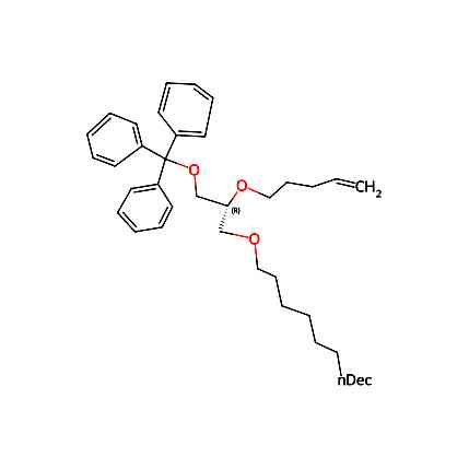 C=CCCCO[C@H](COCCCCCCCCCCCCCCCC)COC(c1ccccc1)(c1ccccc1)c1ccccc1